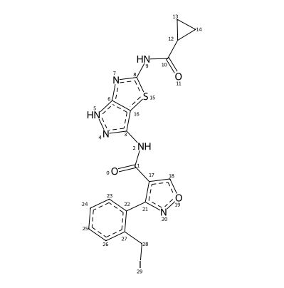 O=C(Nc1n[nH]c2nc(NC(=O)C3CC3)sc12)c1conc1-c1ccccc1CI